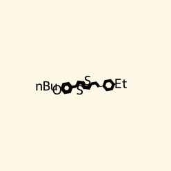 CCCCOc1ccc(-c2cc3sc(CC[C@H]4CC[C@H](CC)CC4)cc3s2)cc1